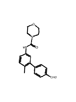 Cc1ccc(NC(=O)N2CCOCC2)cc1-c1ccc(C=O)cc1